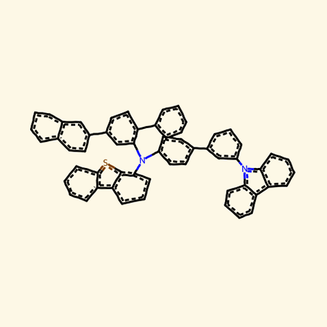 c1ccc(-c2ccc(-c3ccc4ccccc4c3)cc2N(c2ccc(-c3cccc(-n4c5ccccc5c5ccccc54)c3)cc2)c2cccc3c2sc2ccccc23)cc1